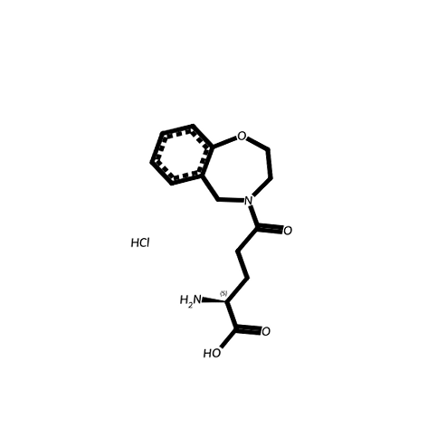 Cl.N[C@@H](CCC(=O)N1CCOc2ccccc2C1)C(=O)O